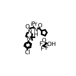 CC(C)[C@@H](NC(=O)C1CCCC1)C(=O)N1CCN(c2ccc(Cl)cc2)C(C)(C)C1.O=C(O)C(F)(F)F